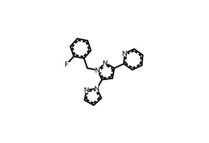 Fc1ccccc1Cn1nc(-c2ccccn2)cc1-n1cccn1